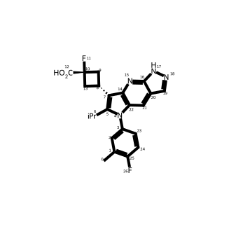 Cc1cc(-n2c(C(C)C)c([C@H]3C[C@](F)(C(=O)O)C3)c3nc4[nH]ncc4cc32)ccc1F